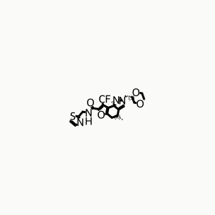 C[C@@H]1Cc2oc(C(=O)NCc3nccs3)c(C(F)(F)F)c2-c2nn(C[C@H]3COCCO3)cc21